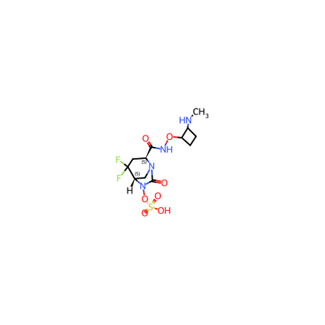 CNC1CCC1ONC(=O)[C@@H]1CC(F)(F)[C@@H]2CN1C(=O)N2OS(=O)(=O)O